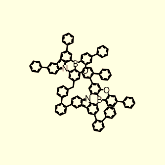 c1ccc(-c2ccc3c(c2)Oc2cc(Cc4cccc(-c5ccccc5-c5ccc6c(c5)c5cc(-c7ccccc7-c7ccccc7)cc7c5n6-c5cc(-c6ccccc6-c6ccccc6)cc6c5B7c5ccc(-c7ccccc7)cc5O6)c4)cc4c2B3c2cc(-c3ccccc3)cc3c5cc(-c6ccccc6)ccc5n-4c23)cc1